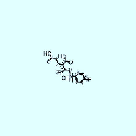 O=C(O)CCC(C(=O)O)C(CNc1ccc(F)cc1)[PH](=O)O